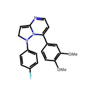 COc1ccc(C2=CC=NC3=CCN(c4ccc(F)cc4)N32)cc1OC